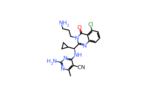 Cc1nc(N)nc(N[C@H](c2nc3cccc(Cl)c3c(=O)n2CCCN)C2CC2)c1C#N